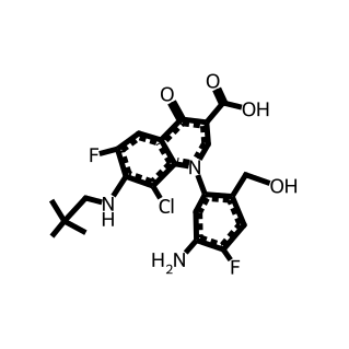 CC(C)(C)CNc1c(F)cc2c(=O)c(C(=O)O)cn(-c3cc(N)c(F)cc3CO)c2c1Cl